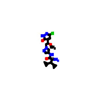 COC(Cn1cc(NC(=O)[C@@H](N)C(C2CC2)C2CC2)cn1)c1cc(Cl)n[nH]c1=O